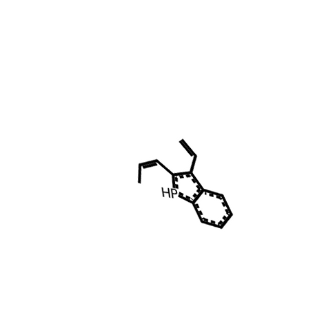 C=Cc1c(/C=C\C)[pH]c2ccccc12